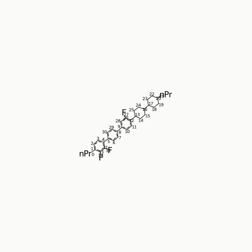 CCCc1ccc(-c2ccc(-c3ccc(C4CCC(C5CCC(CCC)CC5)CC4)c(F)c3)cc2)c(F)c1F